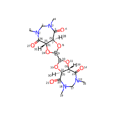 CN1CN(C)C(=O)[C@H]2OB(B3O[C@@H]4C(=O)N(C)CN(C)C(=O)[C@H]4O3)O[C@@H]2C1=O